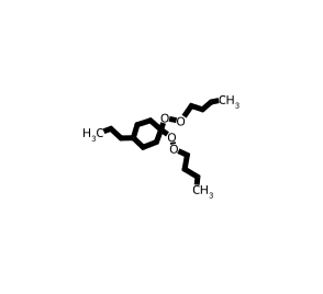 CCCCOOC1(OOCCCC)CCC(CCC)CC1